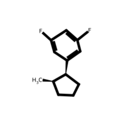 C[C@@H]1CCC[C@@H]1c1cc(F)cc(F)c1